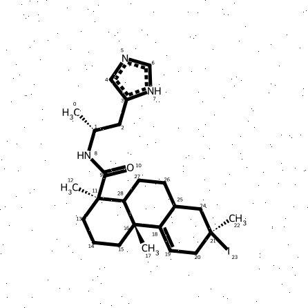 C[C@H](Cc1cnc[nH]1)NC(=O)[C@]1(C)CCC[C@@]2(C)C3=CC[C@](C)(I)CC3CCC12